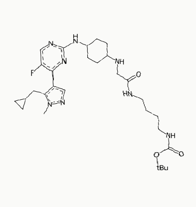 Cn1ncc(-c2nc(NC3CCC(NCC(=O)NCCCCNC(=O)OC(C)(C)C)CC3)ncc2F)c1CC1CC1